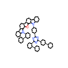 c1ccc(-c2ccc(-c3nc(-c4ccc(-n5c6ccccc6c6ccc7c8ccc9c%10ccccc%10n(-c%10ccccc%10-c%10ccccc%10)c9c8oc7c65)cc4)nc(-c4ccccc4-c4ccccc4)n3)cc2)cc1